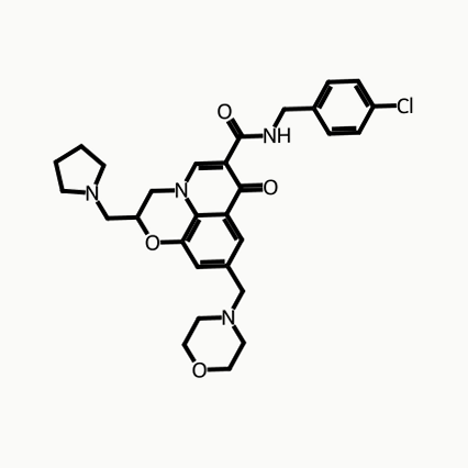 O=C(NCc1ccc(Cl)cc1)c1cn2c3c(cc(CN4CCOCC4)cc3c1=O)OC(CN1CCCC1)C2